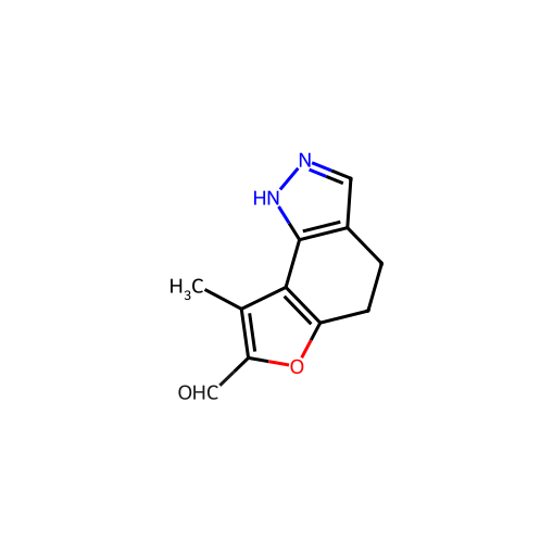 Cc1c(C=O)oc2c1-c1[nH]ncc1CC2